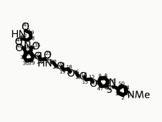 CNc1ccc(-c2nc3ccc(OCCOCCOCCOCCNC(=O)COc4cccc5c4C(=O)N(C4CCC(=O)NC4=O)C5=O)cc3s2)cc1